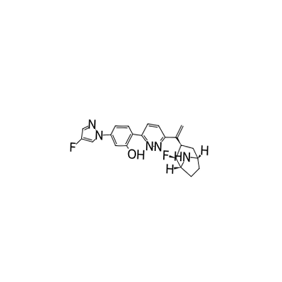 C=C(c1ccc(-c2ccc(-n3cc(F)cn3)cc2O)nn1)[C@H]1C[C@@H]2CC[C@@H](N2)[C@H]1F